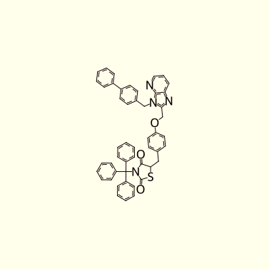 O=C1SC(Cc2ccc(OCc3nc4cccnc4n3Cc3ccc(-c4ccccc4)cc3)cc2)C(=O)N1C(c1ccccc1)(c1ccccc1)c1ccccc1